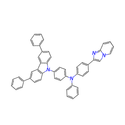 c1ccc(-c2ccc3c(c2)c2cc(-c4ccccc4)ccc2n3-c2ccc(N(c3ccccc3)c3ccc(-c4cn5ccccc5n4)cc3)cc2)cc1